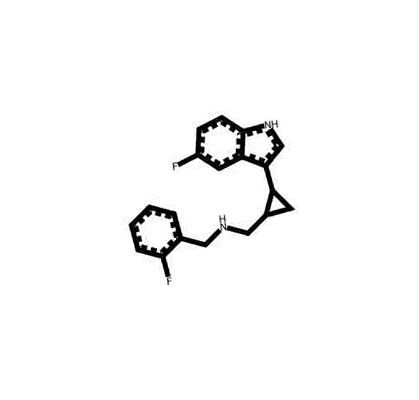 Fc1ccc2[nH]cc(C3CC3CNCc3ccccc3F)c2c1